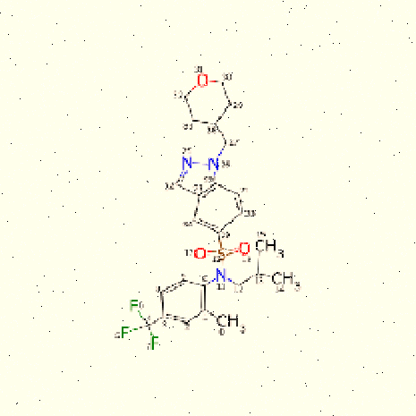 Cc1cc(C(F)(F)F)ccc1N(CC(C)C)S(=O)(=O)c1ccc2c(cnn2CC2CCOCC2)c1